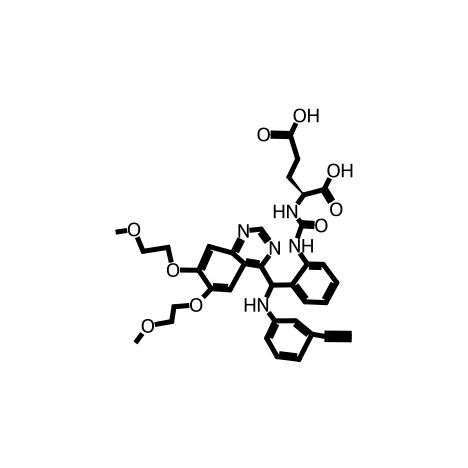 C#Cc1cccc(NC(c2ccccc2NC(=O)N[C@@H](CCC(=O)O)C(=O)O)c2ncnc3cc(OCCOC)c(OCCOC)cc23)c1